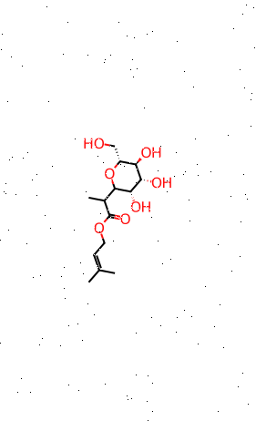 CC(C)=CCOC(=O)C(C)C1O[C@H](CO)[C@@H](O)[C@H](O)[C@@H]1O